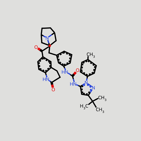 Cc1ccc(-n2nc(C(C)(C)C)cc2NC(=O)Nc2cccc(CC3CC4CCC(C3)N4CC(=O)c3ccc4c(c3)CCC(=O)N4)c2)cc1